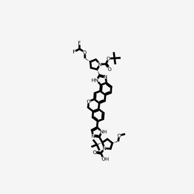 COC[C@@H]1CN(C(=O)O)[C@](c2ncc(-c3ccc4c(c3)COc3cc5c(ccc6nc([C@@H]7C[C@H](COC(F)F)CN7C(=O)OC(C)(C)C)[nH]c65)cc3-4)[nH]2)(C(C)(C)C)C1